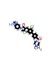 CN1CCN(C(=O)c2ccc(-c3cc(Cl)c(CC4CCN(C5CCc6[nH]cnc6C5)C4=O)c(Cl)c3)cc2)CC1